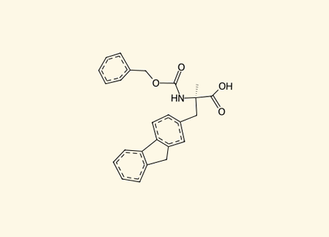 C[C@](Cc1ccc2c(c1)Cc1ccccc1-2)(NC(=O)OCc1ccccc1)C(=O)O